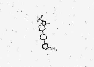 Cc1cc(C(F)(F)F)nn1CC(C=O)N1CCC(c2cccc(N)c2)CC1